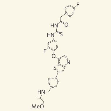 COCC(C)NCc1ccc(-c2cc3nccc(Oc4ccc(NC(=S)NC(=O)Cc5ccc(F)cc5)cc4F)c3s2)cc1